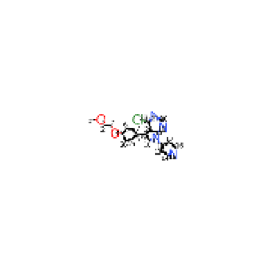 COCCOc1ccc(-c2cn(-c3ccncc3)c3ncnc(Cl)c23)cc1